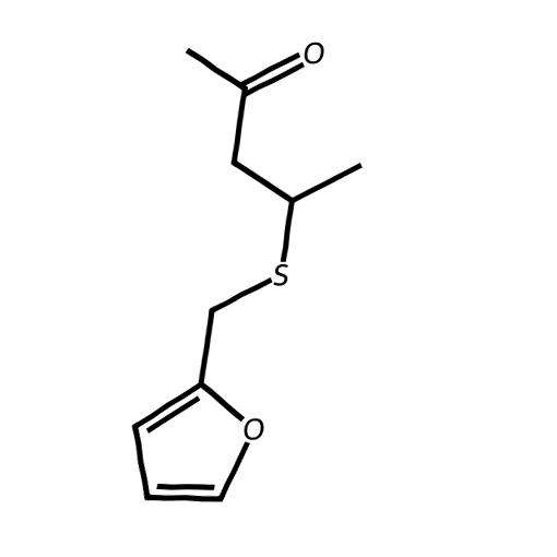 CC(=O)CC(C)SCc1ccco1